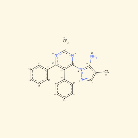 N#Cc1cnn(-c2nc(C(F)(F)F)nc(-c3ccccc3)c2-c2ccccc2)c1N